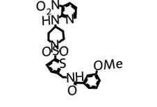 COc1cccc(C(=O)NCc2ccc(S(=O)(=O)N3CCC(Nc4ncccc4[N+](=O)[O-])CC3)s2)c1